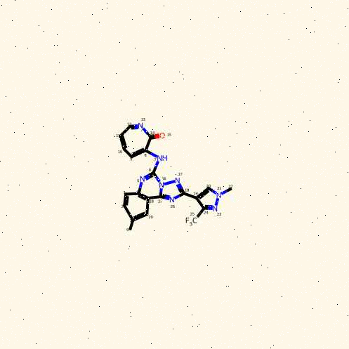 Cc1ccc2nc(Nc3ccccnc3=O)n3nc(-c4cn(C)nc4C(F)(F)F)nc3c2c1